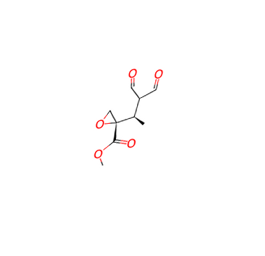 COC(=O)[C@]1([C@H](C)C(C=O)C=O)CO1